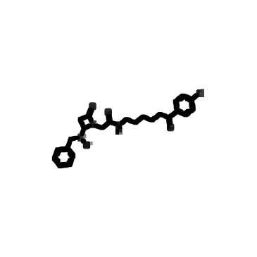 O=C(CN1C(=O)CC1[S+]([O-])Cc1ccccc1)NCCCCCC(=O)c1ccc(Cl)cc1